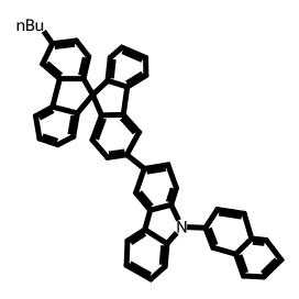 CCCCc1ccc2c(c1)-c1ccccc1C21c2ccccc2-c2cc(-c3ccc4c(c3)c3ccccc3n4-c3ccc4ccccc4c3)ccc21